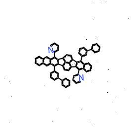 c1ccc(-c2cccc(-c3c4c(c(-c5ccccn5)c5ccccc35)-c3ccc5c6c(ccc-4c36)-c3c-5c(-c4cccc(-c5ccccc5)c4)c4cc5ccccc5cc4c3-c3ccccn3)c2)cc1